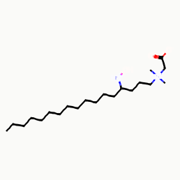 CCCCCCCCCCCCCC(CCC[N+](C)(C)CC(=O)[O-])NO